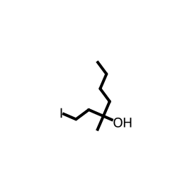 CCCCC(C)(O)CCI